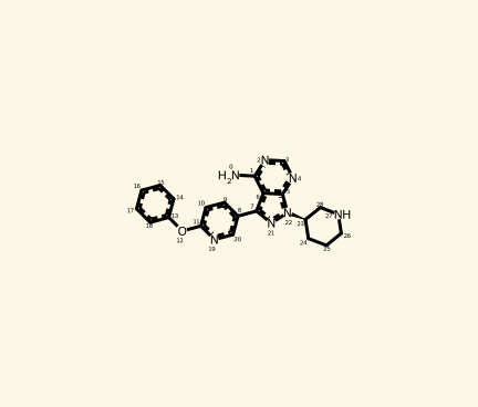 Nc1ncnc2c1c(-c1ccc(Oc3ccccc3)nc1)nn2[C@@H]1CCCNC1